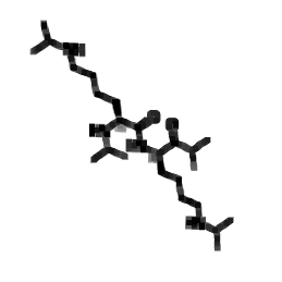 CC(C)NCCCC[C@H](NC(C)C)C(=O)N[C@H](CCCCNC(C)C)C(=O)C(C)C